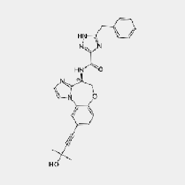 CC(C)(O)C#Cc1ccc2c(c1)-n1ccnc1[C@@H](NC(=O)c1n[nH]c(Cc3ccccc3)n1)CO2